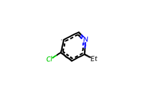 CCc1cc(Cl)[c]cn1